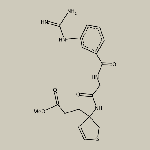 COC(=O)CCC1(NC(=O)CNC(=O)c2cccc(NC(=N)N)c2)C=CSC1